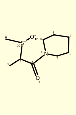 CC(C(=O)N1CCCCC1)[S+](C)[O-]